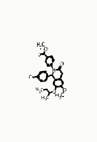 CCC(C)Oc1cc2c(cc1OC)CC(=O)N(c1ccc(C(=O)OC)cc1)C2c1ccc(Cl)cc1